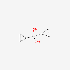 O[Si](O)(C1CC1)C1CC1